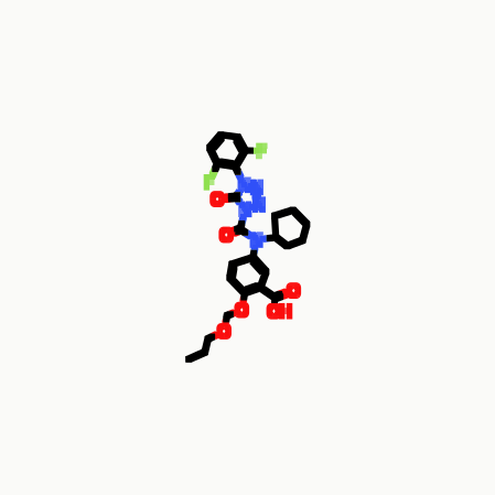 CCCOCOc1ccc(N(C(=O)n2nnn(-c3c(F)cccc3F)c2=O)C2CCCCC2)cc1C(=O)O